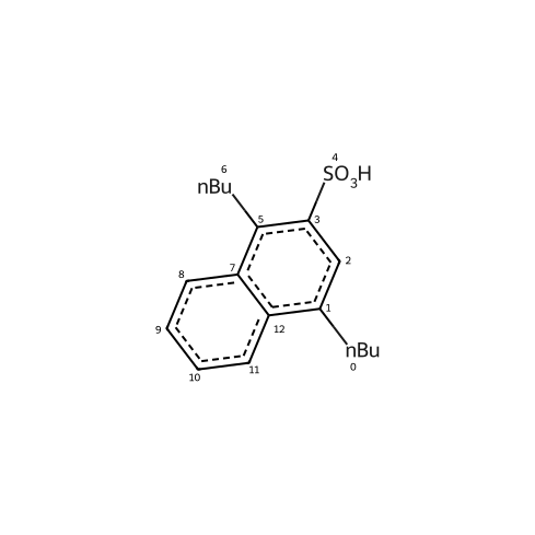 CCCCc1cc(S(=O)(=O)O)c(CCCC)c2ccccc12